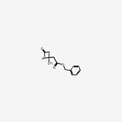 CC1(CC(=O)OCc2ccccc2)CC(=O)N1